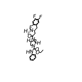 CCOc1ccccc1NC(=O)N1C[C@H]2C[C@@H]1CN2C(=O)C[C@H](N)Cc1cc(F)c(F)cc1F